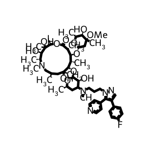 CO[C@]1(C)C[C@H](O[C@H]2[C@H](C)[C@@H](O[C@@H]3O[C@H](C)CC(N(C)CCCn4ncc(-c5ccc(F)cc5)c4-c4ccncc4)[C@H]3O)[C@](C)(O)C[C@@H](C)CN(C)[C@H](C)[C@@H](O)[C@](C)(O)[C@@H](I)OC(=O)[C@@H]2C)O[C@@H](C)[C@@H]1O